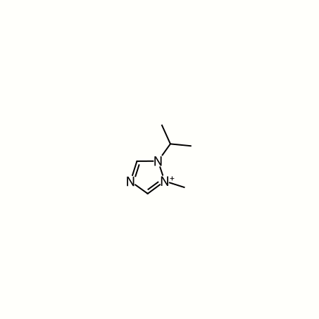 CC(C)n1cnc[n+]1C